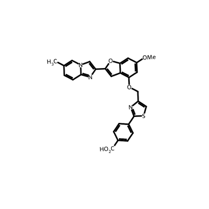 COc1cc(OCc2csc(-c3ccc(C(=O)O)cc3)n2)c2cc(-c3cn4cc(C)ccc4n3)oc2c1